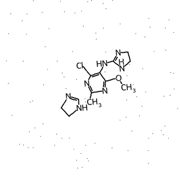 C1=NCCN1.COc1nc(C)nc(Cl)c1NC1=NCCN1